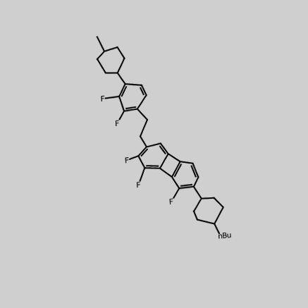 CCCCC1CCC(c2ccc3c(c2F)-c2c-3cc(CCc3ccc(C4CCC(C)CC4)c(F)c3F)c(F)c2F)CC1